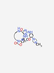 COc1cc(Nc2ncc3c(n2)Nc2ccc4c(n2)N(CCCC/C=C\NC3=O)C(=O)CO4)ccc1N1CCN(C)CC1